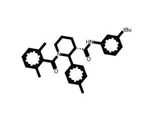 Cc1ccc(C2[C@@H](C(=O)Nc3cccc(C(C)(C)C)c3)CCCN2C(=O)c2c(C)cccc2C)cc1